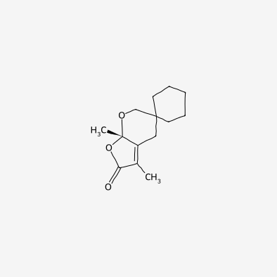 CC1=C2CC3(CCCCC3)CO[C@@]2(C)OC1=O